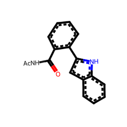 CC(=O)NC(=O)c1ccccc1-c1cc2ccccc2[nH]1